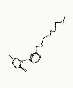 COCCOCCOCc1cccc(-n2cc(C)ccc2=O)c1